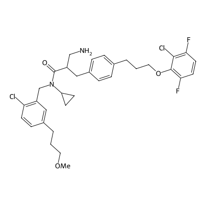 COCCCc1ccc(Cl)c(CN(C(=O)C(CN)Cc2ccc(CCCOc3c(F)ccc(F)c3Cl)cc2)C2CC2)c1